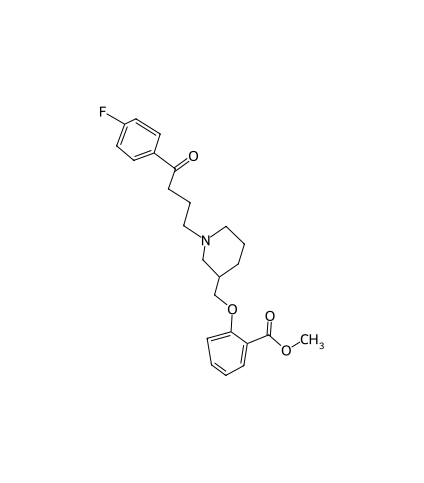 COC(=O)c1ccccc1OCC1CCCN(CCCC(=O)c2ccc(F)cc2)C1